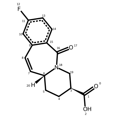 O=C(O)[C@H]1CC[C@@H]2C=Cc3cc(F)ccc3C(=O)N2C1